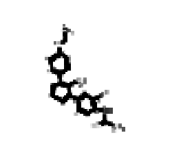 CCOc1ccc(-c2cccc(-c3ccc(NC(C)=O)c(F)c3)c2O)cc1